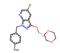 COc1ccc(Cn2nc(OC[C@H]3COCCO3)c3cc(Br)cnc32)cc1